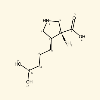 N[C@]1(C(=O)O)CNC[C@@H]1CCCB(O)O